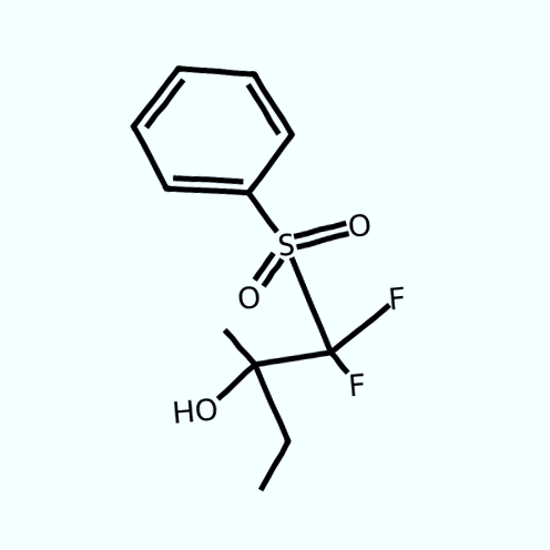 CCC(C)(O)C(F)(F)S(=O)(=O)c1ccccc1